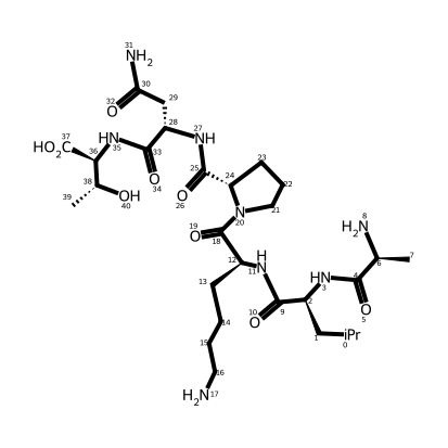 CC(C)C[C@H](NC(=O)[C@H](C)N)C(=O)N[C@@H](CCCCN)C(=O)N1CCC[C@H]1C(=O)N[C@@H](CC(N)=O)C(=O)N[C@H](C(=O)O)[C@@H](C)O